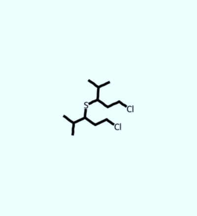 CC(C)C(CCCl)SC(CCCl)C(C)C